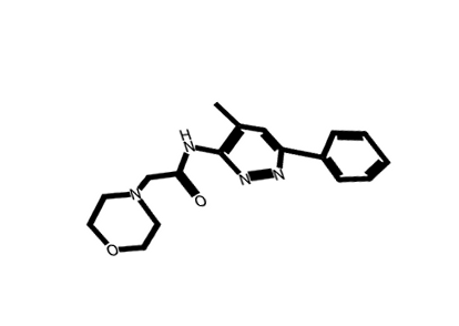 Cc1cc(-c2ccccc2)nnc1NC(=O)CN1CCOCC1